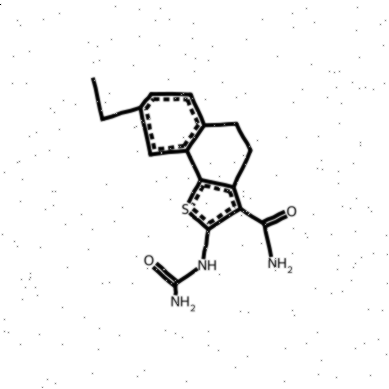 CCc1ccc2c(c1)-c1sc(NC(N)=O)c(C(N)=O)c1CC2